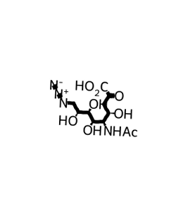 CC(=O)N[C@@H]([C@@H](O)[C@H](O)[C@H](O)CN=[N+]=[N-])[C@@H](O)CC(=O)C(=O)O